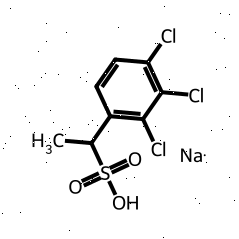 CC(c1ccc(Cl)c(Cl)c1Cl)S(=O)(=O)O.[Na]